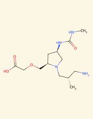 CNC(=O)N[C@@H]1C[C@H](COCC(=O)O)N(C[C@@H](C)CN)C1